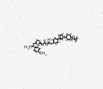 Cc1ccc2c(c1)N1C(=CC2C)CS/C1=N\C(=S)ONCc1ccc(-c2ncn(-c3ccc(OC(F)(F)F)cc3)n2)cc1